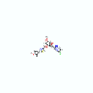 COc1ccc(-c2nc(COc3cc(OC)cc4oc(-c5cn6cc(Cl)ccc6n5)cc34)cs2)cc1